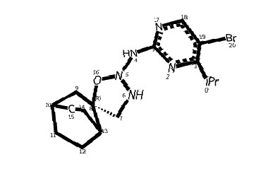 CC(C)c1nc(NN2NC[C@]3(CC4CCC3CC4)O2)ncc1Br